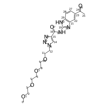 COCCOCCOCCOCCn1cc(C(=O)Nc2nc3cc(C(C)=O)ccc3[nH]2)nn1